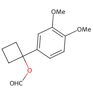 COc1ccc(C2(OC=O)CCC2)cc1OC